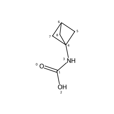 O=C(O)NC12CC(C1)C2